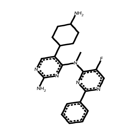 CN(c1nc(-c2ccccc2)ncc1F)c1nc(N)ncc1C1CCC(N)CC1